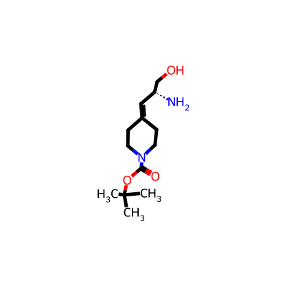 CC(C)(C)OC(=O)N1CCC(=C[C@@H](N)CO)CC1